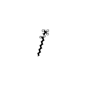 CCCCCCCCCC(=O)OCC(Cl)(Cl)Cl